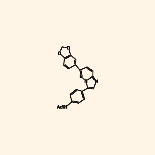 CC(=O)Nc1ccc(-c2cnc3ccc(-c4ccc5c(c4)OCO5)nn23)cc1